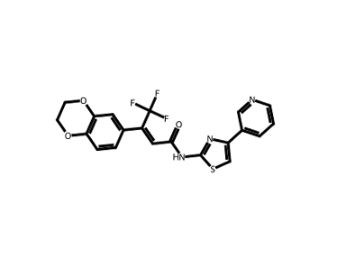 O=C(C=C(c1ccc2c(c1)OCCO2)C(F)(F)F)Nc1nc(-c2cccnc2)cs1